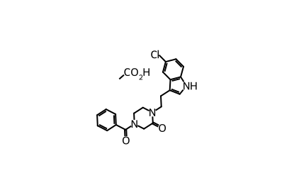 CC(=O)O.O=C1CN(C(=O)c2ccccc2)CCN1CCc1c[nH]c2ccc(Cl)cc12